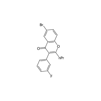 CCCc1oc2ccc(Br)cc2c(=O)c1-c1cccc(F)c1